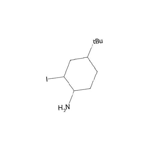 CC(C)(C)C1CCC(N)C(I)C1